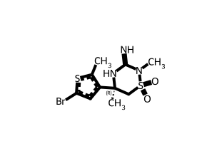 Cc1sc(Br)cc1[C@]1(C)CS(=O)(=O)N(C)C(=N)N1